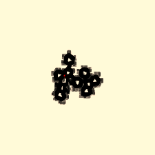 c1ccc(-c2ccc3c(c2)c2cc(C4(c5ccccc5)c5ccccc5-c5ccccc54)ccc2n3-c2nc3ccccc3nc2-c2ccccc2)cc1